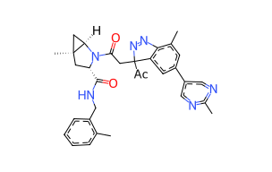 CC(=O)C1(CC(=O)N2[C@H](C(=O)NCc3ccccc3C)C[C@@]3(C)C[C@@H]23)N=Nc2c(C)cc(-c3cnc(C)nc3)cc21